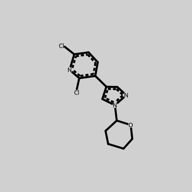 Clc1ccc(-c2cnn(C3CCCCO3)c2)c(Cl)n1